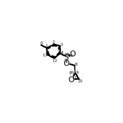 Cc1ccc([S@](=O)OC[C@H]2CO2)cc1